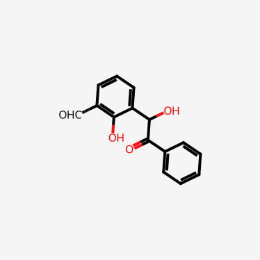 O=Cc1cccc(C(O)C(=O)c2ccccc2)c1O